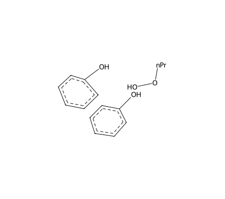 CCCOO.Oc1ccccc1.Oc1ccccc1